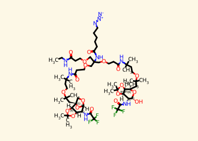 CCNC(=O)CCOCC(COCCC(=O)NC(C)(C)CCOC(C)(C)C[C@@]12CO[C@H](O1)[C@H](NC(=O)C(F)(F)F)[C@H]1OC(C)(C)O[C@H]12)(COCCC(=O)NC(C)(C)CCOC(C)(C)C[C@@]1(C)O[C@H](O)[C@H](NC(=O)C(F)(F)F)[C@H]2OC(C)(C)O[C@H]21)NC(=O)CCCCCN=[N+]=[N-]